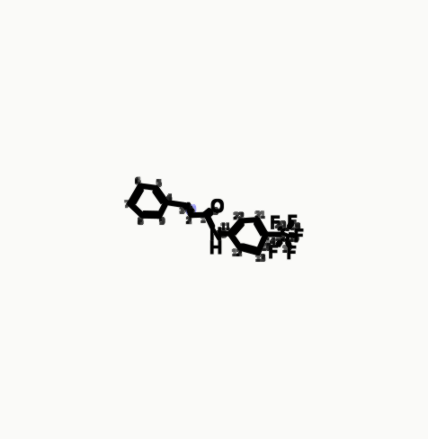 O=C(/C=C/c1ccccc1)Nc1ccc(S(F)(F)(F)(F)F)cc1